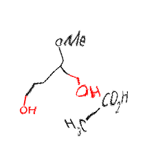 CC(=O)O.COC(O)CO